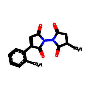 O=C(O)c1ccccc1C1=CC(=O)N(N2C(=O)CC(S(=O)(=O)O)C2=O)C1=O